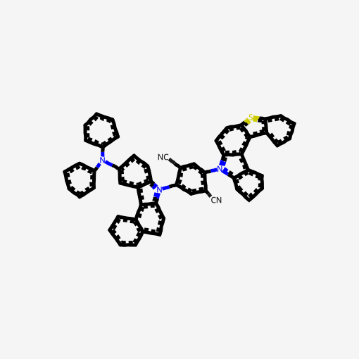 N#Cc1cc(-n2c3ccccc3c3c4c(ccc32)sc2ccccc24)c(C#N)cc1-n1c2ccc(N(c3ccccc3)c3ccccc3)cc2c2c3ccccc3ccc21